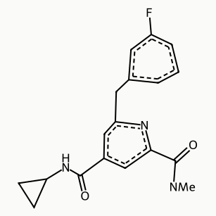 CNC(=O)c1cc(C(=O)NC2CC2)cc(Cc2cccc(F)c2)n1